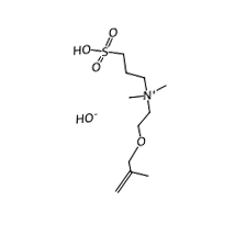 C=C(C)COCC[N+](C)(C)CCCS(=O)(=O)O.[OH-]